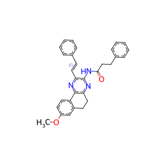 COc1ccc2c(c1)CCc1nc(NC(=O)CCc3ccccc3)c(/C=C/c3ccccc3)nc1-2